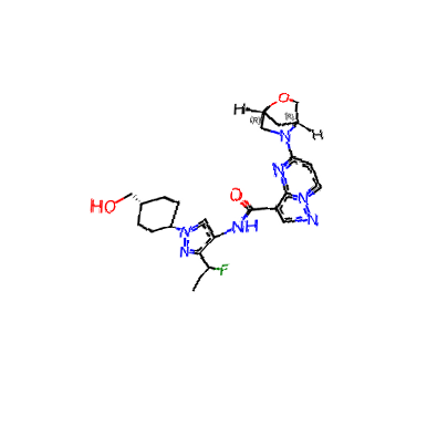 CC(F)c1nn([C@H]2CC[C@H](CO)CC2)cc1NC(=O)c1cnn2ccc(N3C[C@H]4C[C@@H]3CO4)nc12